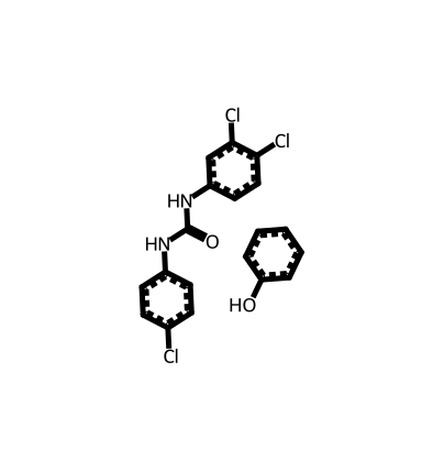 O=C(Nc1ccc(Cl)cc1)Nc1ccc(Cl)c(Cl)c1.Oc1ccccc1